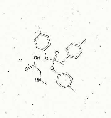 CNCC(=O)O.Cc1ccc(OP(=O)(Oc2ccc(C)cc2)Oc2ccc(C)cc2)cc1